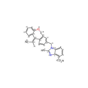 CCCc1nc2c(C(=O)O)cccc2n1Cc1ccc2c(c1)COc1ccccc1C2=C(C)C#N